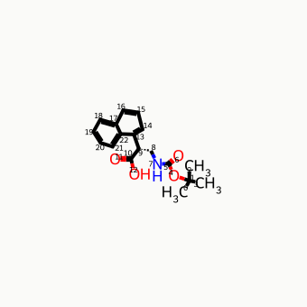 CC(C)(C)OC(=O)NC[C@H](C(=O)O)c1cccc2ccccc12